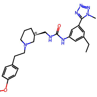 CCc1cc(NC(=O)NC[C@@H]2CCCN(CCc3ccc(OC)cc3)C2)cc(-c2nnnn2C)c1